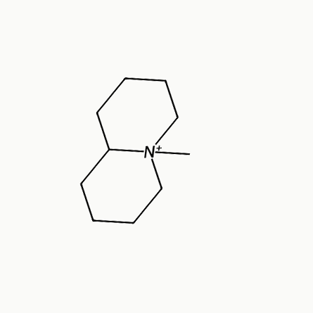 C[N+]12CCCCC1CCCC2